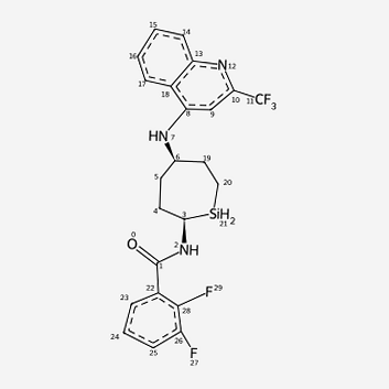 O=C(N[C@H]1CC[C@@H](Nc2cc(C(F)(F)F)nc3ccccc23)CC[SiH2]1)c1cccc(F)c1F